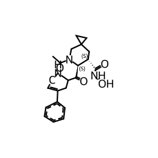 CC(=O)N1CC2(CC2)C[C@H](C(=O)NO)[C@H]1C(=O)C1CC(c2ccccc2)=CCN1